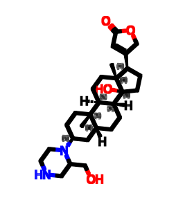 C[C@]12CC[C@H](N3CCNCC3CO)C[C@H]1CC[C@@H]1[C@@H]2CC[C@]2(C)[C@@H](C3=CC(=O)OC3)CC[C@]12O